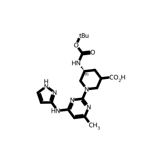 Cc1cc(Nc2cc[nH]n2)nc(N2CC(C(=O)O)C[C@@H](NC(=O)OC(C)(C)C)C2)n1